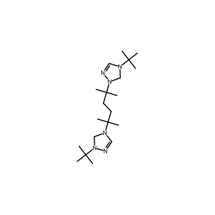 CC(C)(C)N1C=NN(C(C)(C)CCC(C)(C)N2C=NN(C(C)(C)C)C2)C1